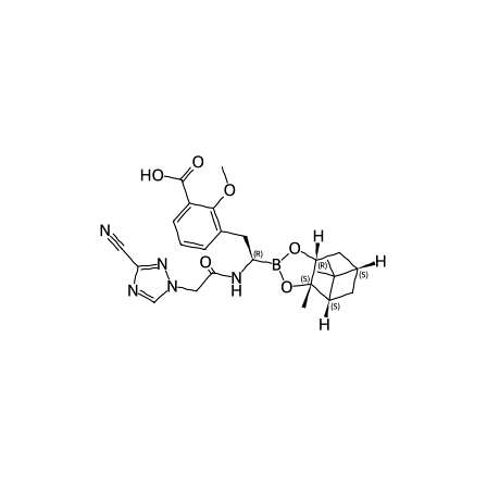 COc1c(C[C@H](NC(=O)Cn2cnc(C#N)n2)B2O[C@@H]3C[C@@H]4C[C@@H](C4(C)C)[C@]3(C)O2)cccc1C(=O)O